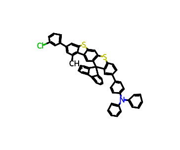 Cc1cc(-c2cccc(Cl)c2)cc2sc3cc4c(cc3c12)C1(c2cc(-c3ccc(N(c5ccccc5)c5ccccc5)cc3)ccc2S4)c2ccccc2-c2ccccc21